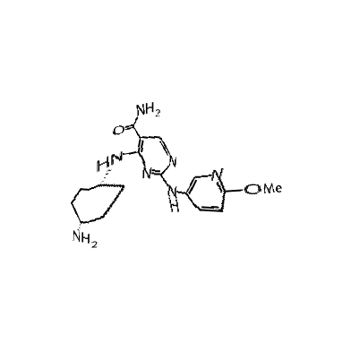 COc1ccc(Nc2ncc(C(N)=O)c(N[C@H]3CC[C@@H](N)CC3)n2)cn1